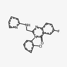 O=c1c2cc(F)ccc2nc(CNc2ccccn2)n1-c1ccccc1Cl